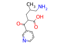 CC(CN)CC(C(=O)O)C(=O)c1cccnc1